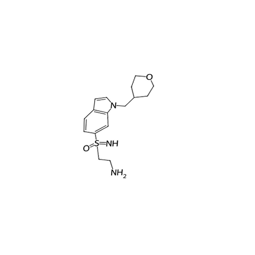 N=S(=O)(CCN)c1ccc2ccn(CC3CCOCC3)c2c1